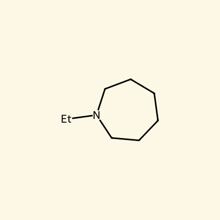 CCN1CCCCCC1